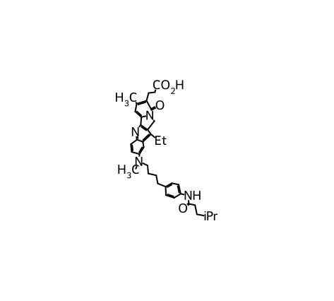 CCc1c2c(nc3ccc(N(C)CCCCc4ccc(NC(=O)CCC(C)C)cc4)cc13)-c1cc(C)c(CCC(=O)O)c(=O)n1C2